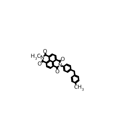 Cc1ccc(Cc2ccc(N3C(=O)c4ccc5c6c(ccc(c46)C3=O)C(=O)N(C)C5=O)cc2)cc1